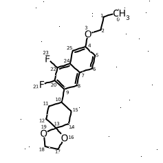 CCCOc1ccc2cc(C3CCC4(CC3)OCCO4)c(F)c(F)c2c1